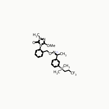 COc1nn(C)c(=O)n1-c1ccccc1CO/N=C(/C)c1cccc([Si](C)(C)CCC(F)(F)F)c1